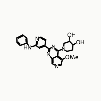 COc1cncc2nc(-c3ccnc(Nc4ccccc4)c3)nc(N3CCC(O)[C@H](O)C3)c12